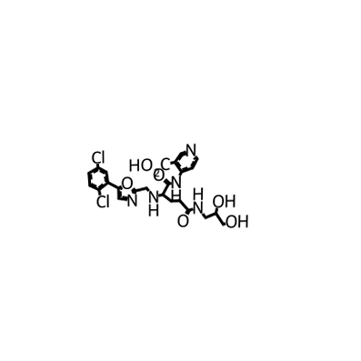 O=C(CCC(NCc1ncc(-c2cc(Cl)ccc2Cl)o1)C(=O)Nc1ccncc1C(=O)O)NCC(O)CO